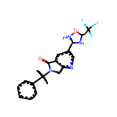 CC(C)(c1ccccc1)N1Cc2ncc(C3NOC(C(F)(F)F)N3)cc2C1=O